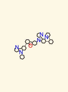 c1ccc(-n2c3ccc(-c4cccc5c4oc4ccc(-n6c7ccc(-c8ccccc8-c8ccccn8)cc7c7ncccc76)cc45)cc3c3ncccc32)cc1